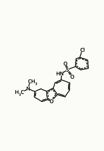 CN(C)C1=CC=c2oc3c(c2C1)C=C(NS(=O)(=O)c1cccc(Cl)c1)C=CC=3